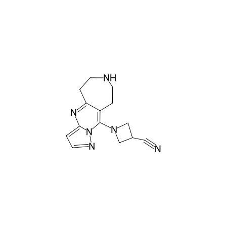 N#CC1CN(c2c3c(nc4ccnn24)CCNCC3)C1